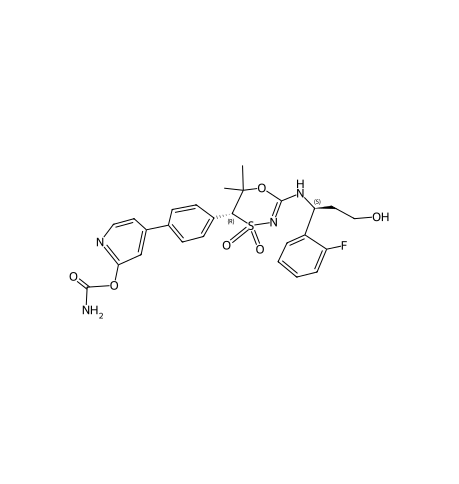 CC1(C)OC(N[C@@H](CCO)c2ccccc2F)=NS(=O)(=O)[C@@H]1c1ccc(-c2ccnc(OC(N)=O)c2)cc1